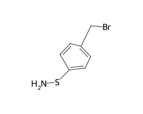 NSc1ccc(CBr)cc1